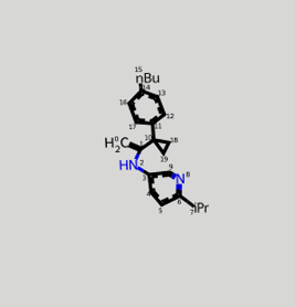 C=C(Nc1ccc(C(C)C)nc1)C1(c2ccc(CCCC)cc2)CC1